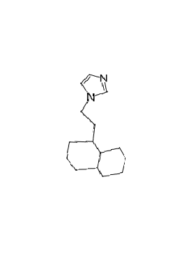 c1cn(CCC2CCCC3CCCCC32)cn1